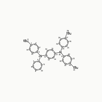 CC(C)(C)c1ccc(N(c2ccccc2)c2ccc(N(c3ccc(C(C)(C)C)cc3)c3ccc(C(C)(C)C)cc3)cc2)cc1